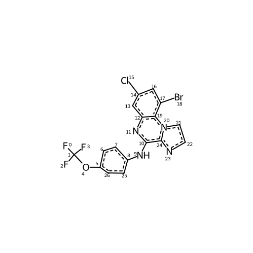 FC(F)(F)Oc1ccc(Nc2nc3cc(Cl)cc(Br)c3n3ccnc23)cc1